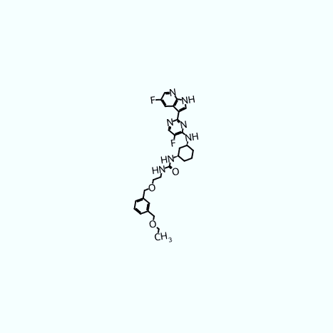 CCOCc1cccc(COCCNC(=O)N[C@@H]2CCC[C@H](Nc3nc(-c4c[nH]c5ncc(F)cc45)ncc3F)C2)c1